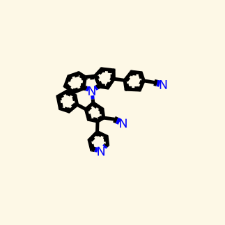 N#Cc1ccc(-c2ccc3c4ccccc4n(-c4cc(C#N)c(-c5ccncc5)cc4-c4ccccc4)c3c2)cc1